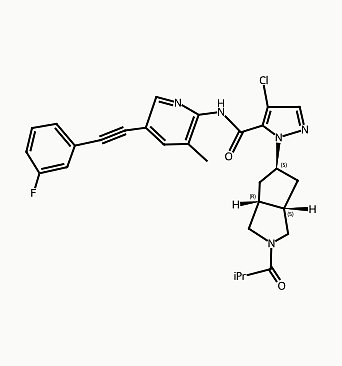 Cc1cc(C#Cc2cccc(F)c2)cnc1NC(=O)c1c(Cl)cnn1[C@H]1C[C@@H]2CN(C(=O)C(C)C)C[C@@H]2C1